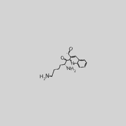 NCCCC[C@@H](N)C(=O)c1nc2ccccc2cc1[C]=O